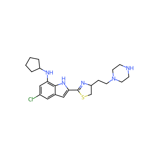 Clc1cc(NC2CCCC2)c2[nH]c(C3=NC(CCN4CCNCC4)CS3)cc2c1